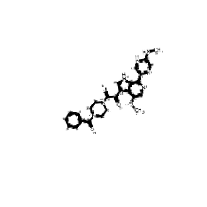 CNc1cnc(-c2ncc(OC)c3c(C(=O)C(=O)N4CCN(C(=O)c5ccccc5)CC4)c[nH]c23)cn1